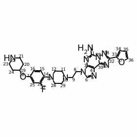 Nc1nc2c(ncn2CCN2CCN(c3ccc(OC4CCNCC4)cc3F)CC2)c2nc(-c3ccco3)nn12